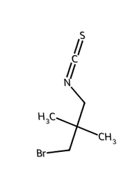 CC(C)(CBr)CN=C=S